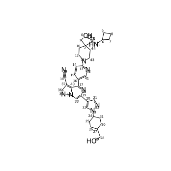 CCC1(C(=O)NC2CCC2)CCN(c2ccc(-c3nc(-c4cnn(C5CCC(CO)CC5)c4)cn4ncc(C#N)c34)cn2)CC1